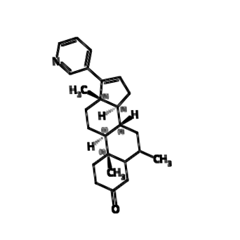 CC1C[C@@H]2[C@H](CC[C@]3(C)C(c4cccnc4)=CC[C@@H]23)[C@@]2(C)CCC(=O)CC12